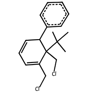 CC(C)(C)C1(CCl)C(CCl)=CC=CC1c1ccccc1